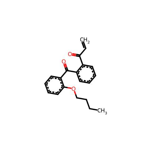 C=CC(=O)c1ccccc1C(=O)c1ccccc1OCCCC